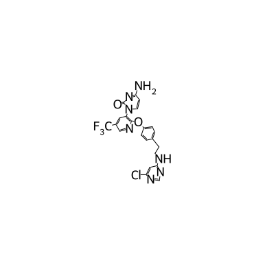 Nc1ccn(-c2cc(C(F)(F)F)cnc2Oc2ccc(CCNc3cc(Cl)ncn3)cc2)c(=O)n1